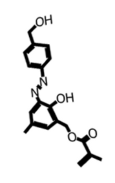 C=C(C)C(=O)OCc1cc(C)cc(/N=N/c2ccc(CO)cc2)c1O